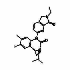 CCN1Cc2ccc(N(C(=O)C#CC(C)C)c3cc(C)c(I)cc3C3CC3)nc2C1=O